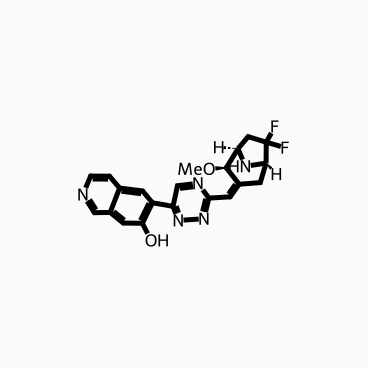 CO[C@@H]1/C(=C\c2ncc(-c3cc4ccncc4cc3O)nn2)C[C@H]2N[C@@H]1CC2(F)F